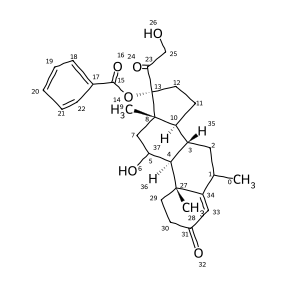 CC1C[C@@H]2[C@H](C(O)C[C@@]3(C)[C@H]2CC[C@]3(OC(=O)c2ccccc2)C(=O)CO)[C@@]2(C)CCC(=O)C=C12